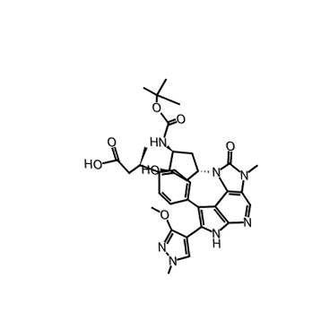 COc1nn(C)cc1-c1[nH]c2ncc3c(c2c1-c1ccc([C@H](C)CC(=O)O)cc1)n([C@@H]1C[C@@H](O)[C@@H](NC(=O)OC(C)(C)C)C1)c(=O)n3C